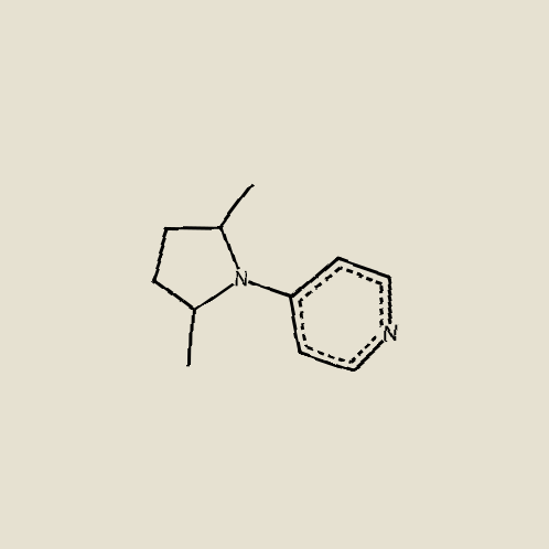 CC1CCC(C)N1c1ccncc1